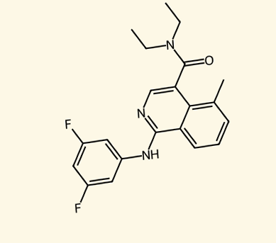 CCN(CC)C(=O)c1cnc(Nc2cc(F)cc(F)c2)c2cccc(C)c12